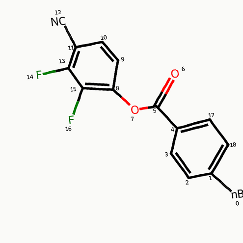 CCCCc1ccc(C(=O)Oc2ccc(C#N)c(F)c2F)cc1